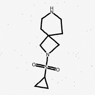 O=S(=O)(C1CC1)N1CC2(CCNCC2)C1